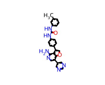 Cc1cccc(NC(=O)Nc2ccc(-c3coc4c(-c5cncnc5)cnc(N)c34)cc2)c1